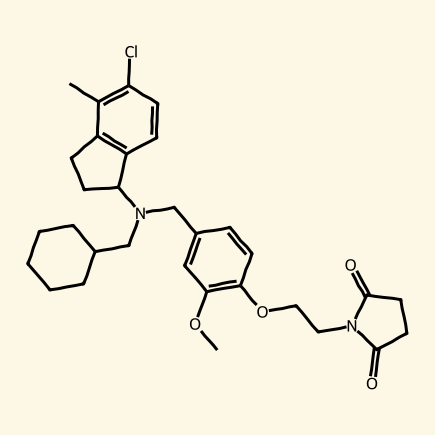 COc1cc(CN(CC2CCCCC2)C2CCc3c2ccc(Cl)c3C)ccc1OCCN1C(=O)CCC1=O